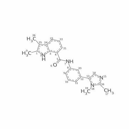 Cc1[nH]c2c(C(=O)Nc3cccc(-c4cnc(C)n4C)c3)cccc2c1C